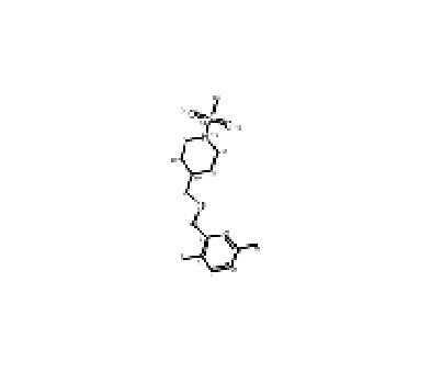 Cc1ccc(C)c(COCC2CCN(S(C)(=O)=O)CC2)c1